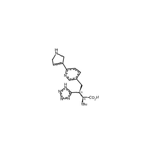 CC(C)(C)[C@H](C(=O)O)[C@H](Cc1ccc(C2=CCNC2)nc1)c1nnn[nH]1